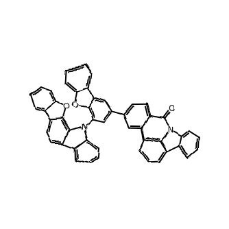 O=c1c2ccc(-c3cc(-n4c5ccccc5c5ccc6c7ccccc7oc6c54)c4oc5ccccc5c4c3)cc2c2cccc3c4ccccc4n1c23